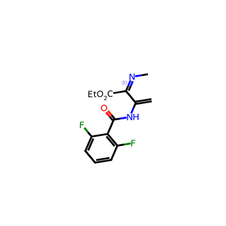 C=C(NC(=O)c1c(F)cccc1F)/C(=N\C)C(=O)OCC